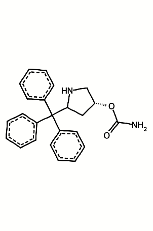 NC(=O)O[C@H]1CNC(C(c2ccccc2)(c2ccccc2)c2ccccc2)C1